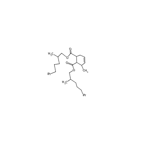 CC(C)CCCC(C)COC(=O)C1CC=CC(C)C1C(=O)OCC(C)CCCC(C)C